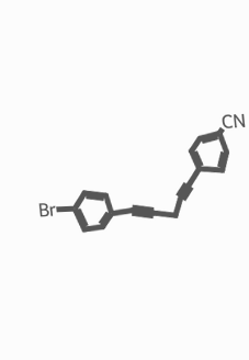 N#Cc1ccc(C#CCC#Cc2ccc(Br)cc2)cc1